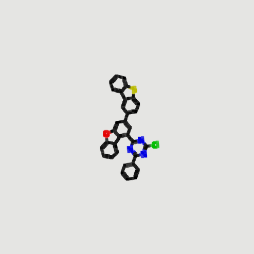 Clc1nc(-c2ccccc2)nc(-c2cc(-c3ccc4sc5ccccc5c4c3)cc3oc4ccccc4c23)n1